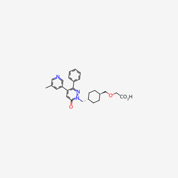 Cc1cncc(-c2cc(=O)n(C[C@H]3CC[C@H](COCC(=O)O)CC3)nc2-c2ccccc2)c1